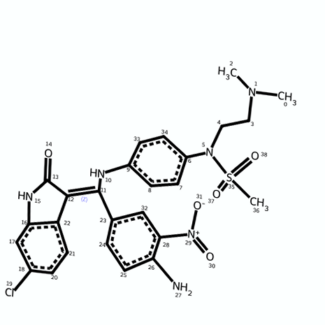 CN(C)CCN(c1ccc(N/C(=C2\C(=O)Nc3cc(Cl)ccc32)c2ccc(N)c([N+](=O)[O-])c2)cc1)S(C)(=O)=O